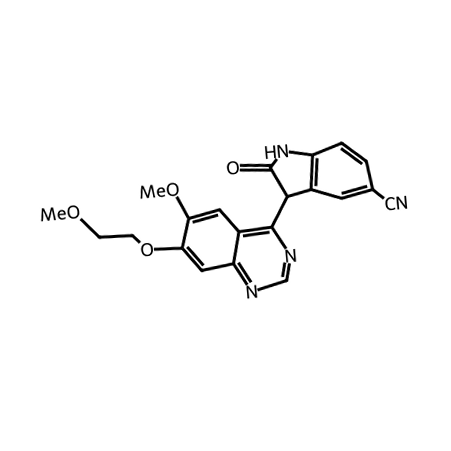 COCCOc1cc2ncnc(C3C(=O)Nc4ccc(C#N)cc43)c2cc1OC